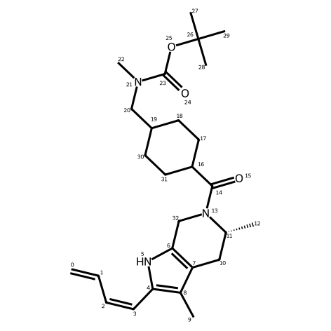 C=C/C=C\c1[nH]c2c(c1C)C[C@@H](C)N(C(=O)C1CCC(CN(C)C(=O)OC(C)(C)C)CC1)C2